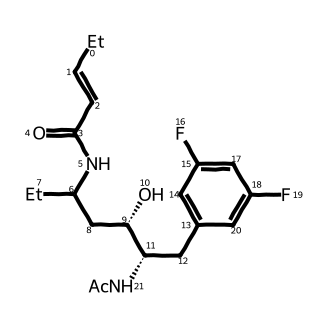 CC/C=C/C(=O)NC(CC)C[C@H](O)[C@H](Cc1cc(F)cc(F)c1)NC(C)=O